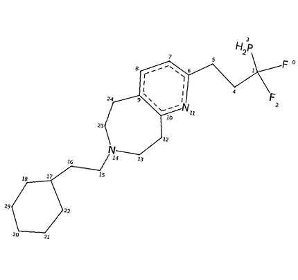 FC(F)(P)CCc1ccc2c(n1)CCN(CCC1CCCCC1)CC2